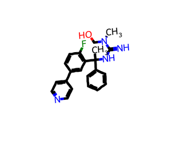 CN(CO)C(=N)NC(C)(c1ccccc1)c1cc(-c2ccncc2)ccc1F